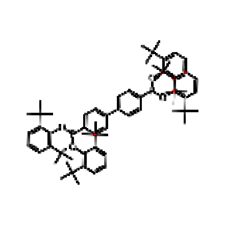 CC(C)(C)c1cccc(C(C)(C)C)c1OP(Oc1c(C(C)(C)C)cccc1C(C)(C)C)c1ccc(-c2ccc(P(Oc3c(C(C)(C)C)cccc3C(C)(C)C)Oc3c(C(C)(C)C)cccc3C(C)(C)C)cc2)cc1